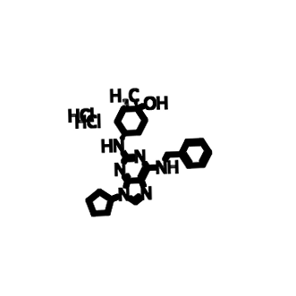 C[C@]1(O)CC[C@@H](Nc2nc(NCc3ccccc3)c3ncn(C4CCCC4)c3n2)CC1.Cl.Cl